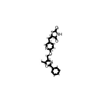 Cc1oc(-c2ccccc2)nc1COc1ccc(/C=C2/SC(=O)NC2=O)cn1